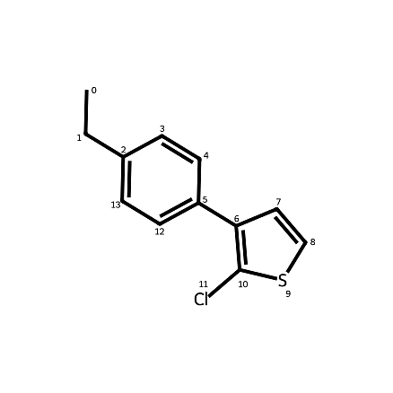 CCc1ccc(-c2ccsc2Cl)cc1